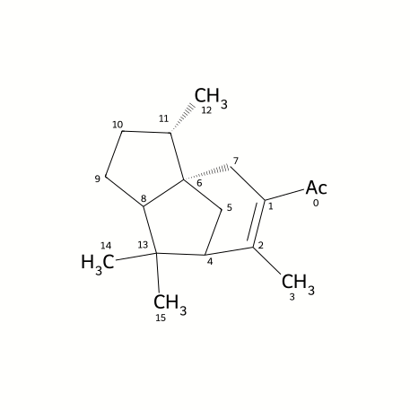 CC(=O)C1=C(C)C2C[C@@]3(C1)C(CC[C@@H]3C)C2(C)C